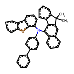 CC1(C)c2ccccc2-c2c1cc1ccccc1c2N(c1ccc(-c2ccccc2)cc1)c1cccc2c1sc1ccccc12